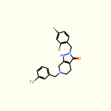 O=c1c2c([nH]n1Cc1ccc(F)cc1Cl)CN(Cc1cccc(C(F)(F)F)c1)CC2